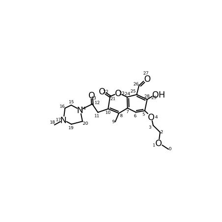 COCCOc1cc2c(C)c(CC(=O)N3CCN(C)CC3)c(=O)oc2c(C=O)c1O